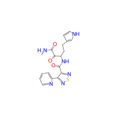 NC(=O)C(=O)C(CCc1cc[nH]c1)NC(=O)c1nsnc1-c1ccccn1